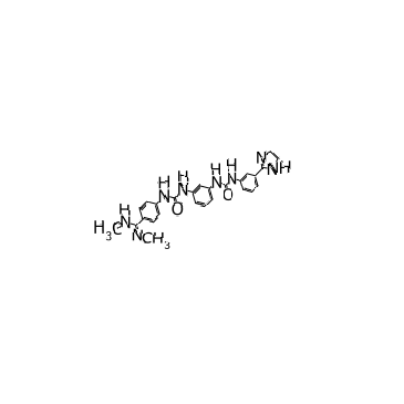 C/N=C(/NC)c1ccc(NC(=O)Nc2cccc(NC(=O)Nc3cccc(C4=NCCN4)c3)c2)cc1